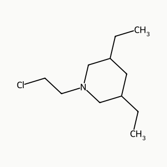 CCC1CC(CC)CN(CCCl)C1